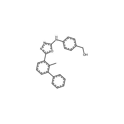 Cc1c(-c2ccccc2)cccc1-c1nnc(Nc2ccc(CO)cc2)o1